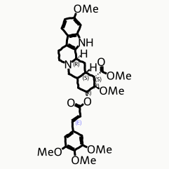 COC(=O)[C@@H]1[C@@H](OC)[C@H](OC(=O)/C=C/c2cc(OC)c(OC)c(OC)c2)CC2CN3CCc4c([nH]c5cc(OC)ccc45)[C@H]3C[C@@H]21